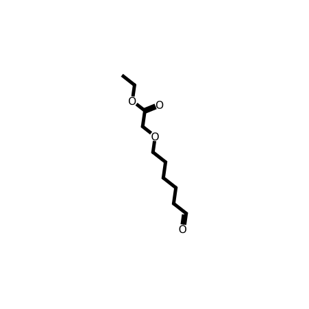 CCOC(=O)COCCCCCC=O